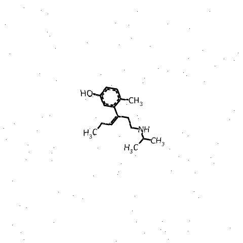 CC/C=C(/CCNC(C)C)c1cc(O)ccc1C